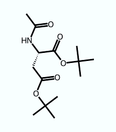 CC(=O)N[C@@H](CC(=O)OC(C)(C)C)C(=O)OC(C)(C)C